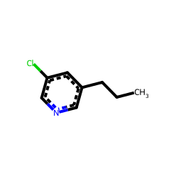 CCCc1cncc(Cl)c1